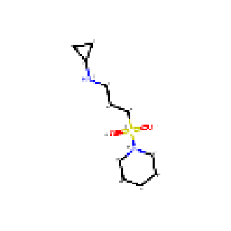 O=S(=O)(CCCNC1CC1)N1CC[CH]CC1